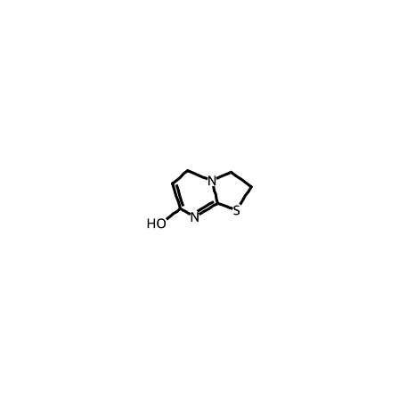 OC1=CCN2CCSC2=N1